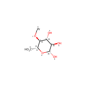 CC(C)O[C@H]1[C@H](O)[C@@H](O)[C@H](O)O[C@@H]1C(=O)O